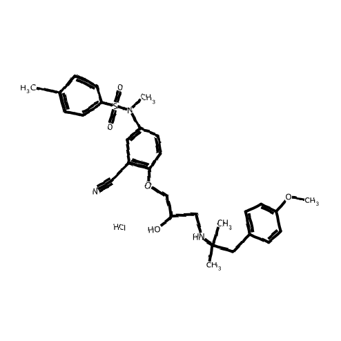 COc1ccc(CC(C)(C)NCC(O)COc2ccc(N(C)S(=O)(=O)c3ccc(C)cc3)cc2C#N)cc1.Cl